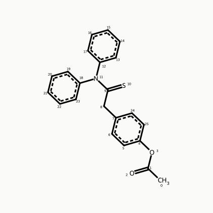 CC(=O)Oc1ccc(CC(=S)N(c2ccccc2)c2ccccc2)cc1